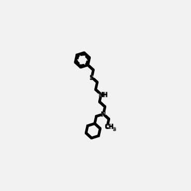 CCN(CCNCCSCc1ccccc1)CC1CCCCC1